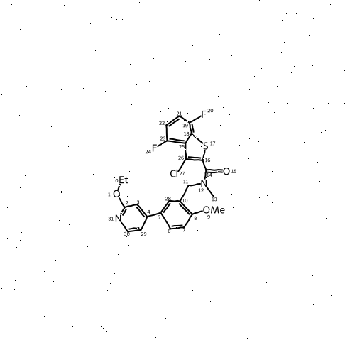 CCOc1cc(-c2ccc(OC)c(CN(C)C(=O)c3sc4c(F)ccc(F)c4c3Cl)c2)ccn1